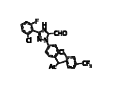 CC(=O)C(c1ccc(N2N=C(c3c(F)cccc3Cl)NC2C=O)cc1)c1ccc(C(F)(F)F)cc1Cl